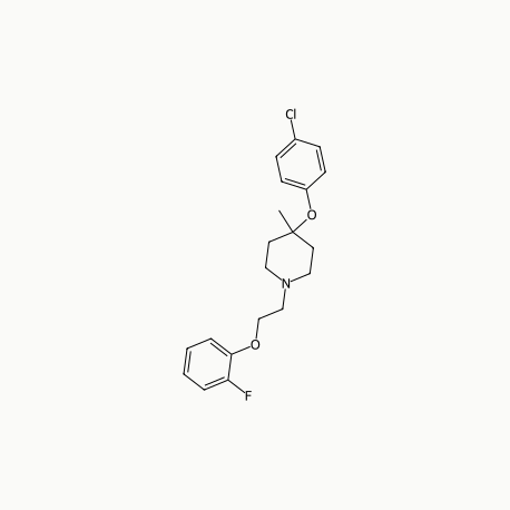 CC1(Oc2ccc(Cl)cc2)CCN(CCOc2ccccc2F)CC1